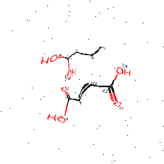 CCCC(O)O.O=C(O)C=CC(=O)O